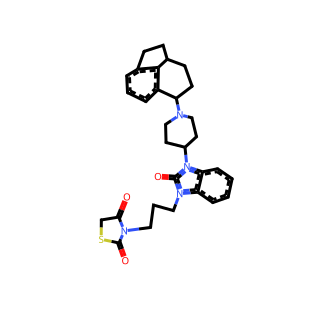 O=C1CSC(=O)N1CCCn1c(=O)n(C2CCN(C3CCC4CCc5cccc3c54)CC2)c2ccccc21